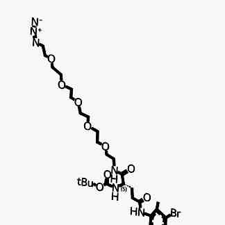 Cc1cc(C)c(NC(=O)CC[C@H](NC(=O)OC(C)(C)C)C(=O)NCCOCCOCCOCCOCCOCCN=[N+]=[N-])c(C)c1Br